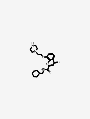 O=C(NCC1CCCCC1)c1cc(=O)c2cccc(OCCN3CCNCC3)c2o1